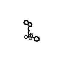 O=C1OC(c2ccccc2)=NC1CC=Cc1cccc2ccccc12